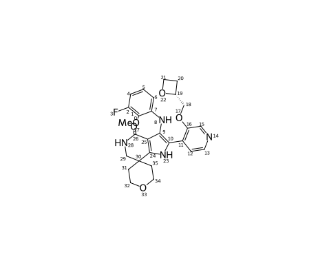 COc1c(F)cccc1Nc1c(-c2ccncc2OC[C@H]2CCO2)[nH]c2c1C(=O)NCC21CCOCC1